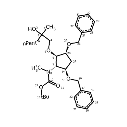 CCCCCC(C)(O)CO[C@@H]1[C@@H](N(C)C(=O)OC(C)(C)C)[C@H](OCc2ccccc2)C[C@@H]1OCc1ccccc1